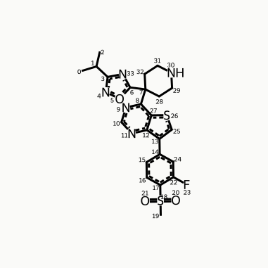 CC(C)c1noc(C2(c3ncnc4c(-c5ccc(S(C)(=O)=O)c(F)c5)csc34)CCNCC2)n1